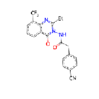 CCc1nc2c(C(F)(F)F)cccc2c(=O)n1NC(=O)Cc1ccc(C#N)cc1